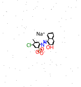 Cc1cc(N=Nc2c(O)ccc3ccccc23)c(S(=O)(=O)[O-])cc1Cl.[Na+]